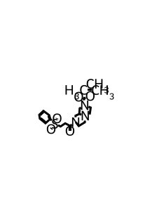 CC(C)(C)OC(=O)N1CCN2CCN(C(=O)CCS(=O)(=O)c3ccccc3)CC2C1